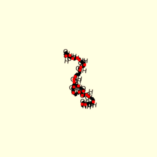 C=CC(=O)OCCNC(=O)OC(COC(=O)NCC(C)(C)CC(C)CCNC(=O)C(C)(C)OC(C)CC(C)(C)OC(=O)NCCC(C)(C)CC(C)CNC(=O)Nc1nc(=O)cc(C)[nH]1)COC(=O)NCC(C)(C)CC(C)CCNC(=O)C(C)(C)OC(C)CC(C)(C)OC(=O)NCCC(C)(C)CC(C)CNC(=O)Nc1nc(=O)cc(C)[nH]1